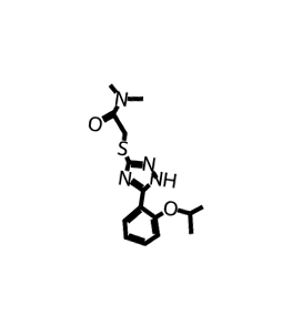 CC(C)Oc1ccccc1-c1nc(SCC(=O)N(C)C)n[nH]1